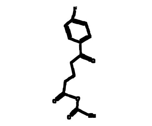 CC(C)(C)C(=O)OC(=O)CCCC(=O)c1ccc(F)cc1